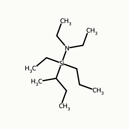 CCC[Si](CC)(C(C)CC)N(CC)CC